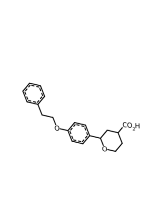 O=C(O)C1CCOC(c2ccc(OCCc3ccccc3)cc2)C1